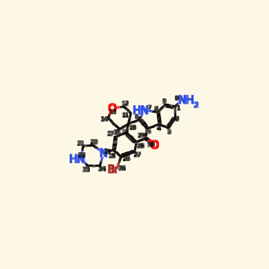 Nc1ccc2c3c([nH]c2c1)C1(CCOCC1)c1cc(N2CCNCC2)c(Br)cc1C3=O